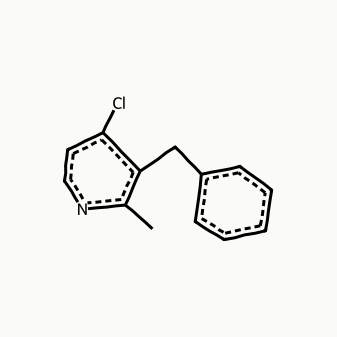 Cc1nccc(Cl)c1Cc1ccccc1